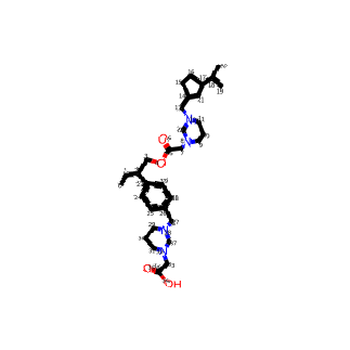 CCC(COC(=O)CN1CCCN(CC2CCC(C(C)C)C2)C1)c1ccc(CN2CCCN(CC(=O)O)C2)cc1